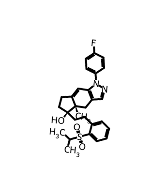 CC(C)S(=O)(=O)c1ccccc1CC[C@]1(O)CCC2=Cc3c(cnn3-c3ccc(F)cc3)C[C@@]21C